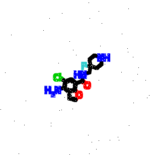 Nc1c(Cl)cc(C(=O)NCC2(F)CCNCC2)c2occc12